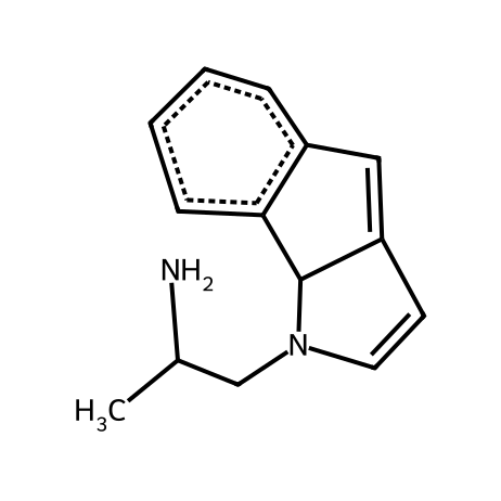 CC(N)CN1C=CC2=Cc3ccccc3C21